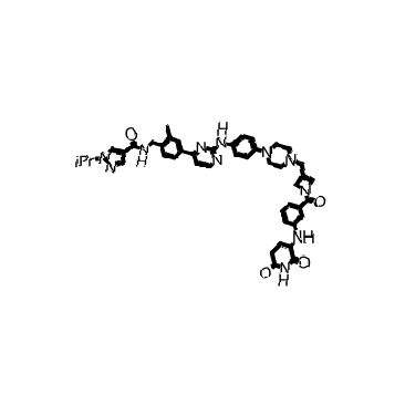 Cc1cc(-c2ccnc(Nc3ccc(N4CCN(CC5CN(C(=O)c6cccc(NC7CCC(=O)NC7=O)c6)C5)CC4)cc3)n2)ccc1CNC(=O)c1cnn(C(C)C)c1